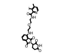 Cc1ccnc(C(=O)NCCOCCNc2cccc3c2C(=O)N(C2CCC(=O)NC2=O)C3=O)c1I